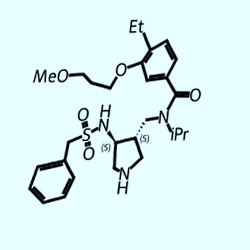 CCc1ccc(C(=O)N(C[C@@H]2CNC[C@H]2NS(=O)(=O)Cc2ccccc2)C(C)C)cc1OCCCOC